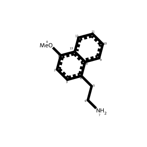 COc1ccc(CCN)c2ccccc12